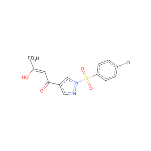 O=C(O)C(O)=CC(=O)c1cnn(S(=O)(=O)c2ccc(Cl)cc2)c1